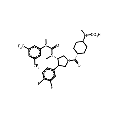 CN(C(=O)N(C)[C@@H]1CN(C(=O)[C@H]2CC[C@H](N(C)C(=O)O)CC2)C[C@H]1c1ccc(F)c(F)c1)c1cc(C(F)(F)F)cc(C(F)(F)F)c1